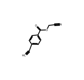 C#Cc1ccc(C(=O)OCC#N)cc1